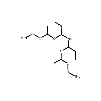 CCC(NC(CC)OC(C)OON)OC(C)OON